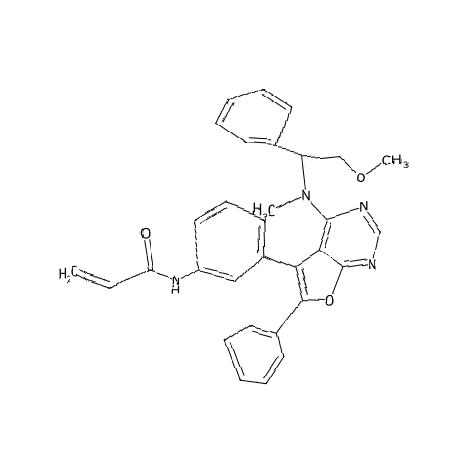 C=CC(=O)Nc1cccc(-c2c(-c3ccccc3)oc3ncnc(N(C)C(COC)c4ccccc4)c23)c1